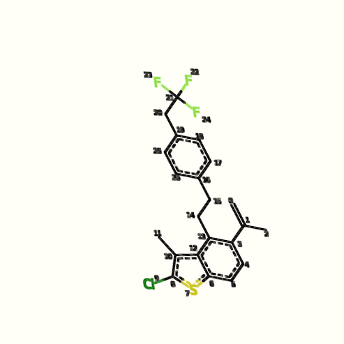 C=C(C)c1ccc2sc(Cl)c(C)c2c1CCc1ccc(CC(F)(F)F)cc1